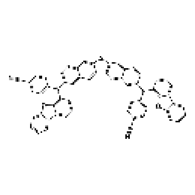 N#Cc1ccc(N(c2ccc3cc4sc5cc6ccc(N(c7ccc(C#N)cc7)c7cccc8c7oc7ccccc78)cc6cc5c4cc3c2)c2cccc3c2oc2ccccc23)cc1